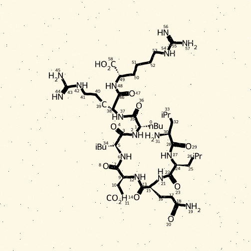 CCCC[C@H](NC(=O)[C@@H](NC(=O)[C@H](CC(=O)O)NC(=O)[C@H](CCC(N)=O)NC(=O)[C@H](CC(C)C)NC(=O)[C@@H](N)CC(C)C)[C@@H](C)CC)C(=O)N[C@H](CCCNC(=N)N)C(=O)N[C@@H](CCCCNC(=N)N)C(=O)O